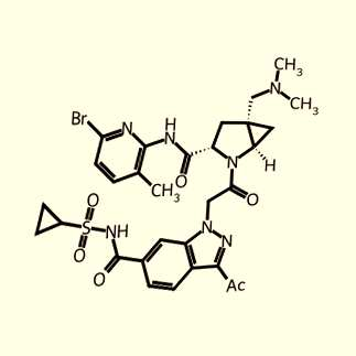 CC(=O)c1nn(CC(=O)N2[C@H](C(=O)Nc3nc(Br)ccc3C)C[C@@]3(CN(C)C)C[C@@H]23)c2cc(C(=O)NS(=O)(=O)C3CC3)ccc12